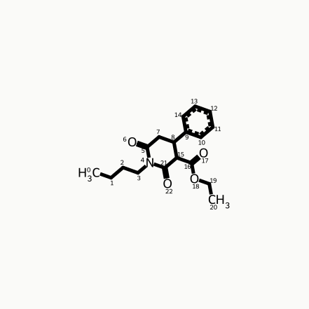 CCCCN1C(=O)CC(c2ccccc2)C(C(=O)OCC)C1=O